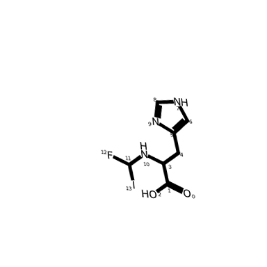 O=C(O)C(Cc1c[nH]cn1)NC(F)I